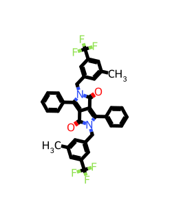 Cc1cc(CN2C(=O)C3=C(c4ccccc4)N(Cc4cc(C)cc(C(F)(F)F)c4)C(=O)C3=C2c2ccccc2)cc(C(F)(F)F)c1